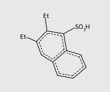 CCc1cc2ccccc2c(S(=O)(=O)O)c1CC